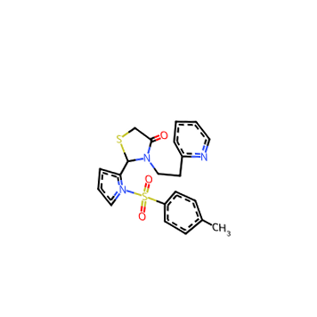 Cc1ccc(S(=O)(=O)n2cccc2C2SCC(=O)N2CCc2ccccn2)cc1